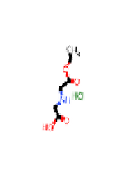 CCOC(=O)CNCC(=O)O.Cl